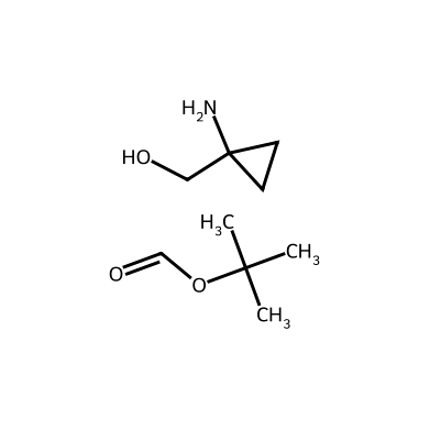 CC(C)(C)OC=O.NC1(CO)CC1